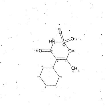 CC1=C(C2CCCCC2)C(=O)NS(=O)(=O)O1